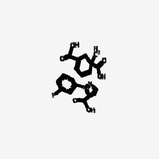 CC1(C(=O)O)C=CC=C(C(=O)O)C1.O=C(O)c1ccnn1-c1cccc(F)c1